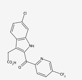 O=C(O)Cc1c(C(=O)c2ccc(C(F)(F)F)cn2)[nH]c2cc(Cl)ccc12